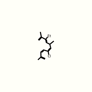 C=C(C)/C=C\C(Cl)=C/C(C)/C=C(\CC)C(=C)C